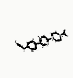 CC(C)N1CCN(c2cnc(-c3ccc(CC#N)cc3)cn2)CC1